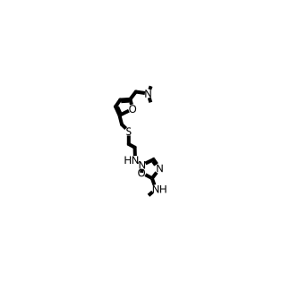 CNC1N=CN(NCCSCc2ccc(CN(C)C)o2)O1